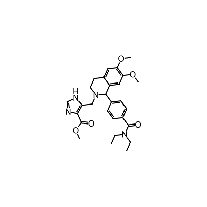 CCN(CC)C(=O)c1ccc(C2c3cc(OC)c(OC)cc3CCN2Cc2[nH]cnc2C(=O)OC)cc1